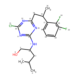 CC(C)CC(CO)Nc1nc(Cl)nc(CC(C)c2cccc(F)c2F)n1